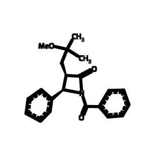 COC(C)(C)C[C@H]1C(=O)N(C(=O)c2ccccc2)[C@H]1c1ccccc1